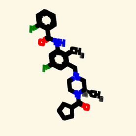 Cc1c(CN2CCN(C(=O)C3CCCC3)[C@@H](C)C2)cc(F)cc1NC(=O)c1ccccc1F